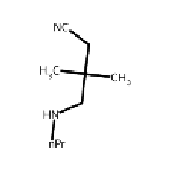 CCCNCC(C)(C)CC#N